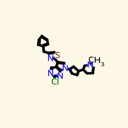 CN1CCCC(C2CCC(n3cc(-c4nc(Cc5ccccc5)cs4)c4cnc(Cl)nc43)C2)C1